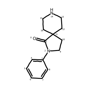 O=C1N(c2ccccc2)CCC12CCNCC2